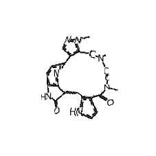 CN1CCN(C)C(=O)c2cc[nH]c2/C=C2\C(=O)Nc3ccc(nc32)-c2cnn(C)c2C1